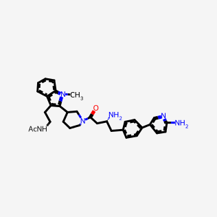 CC(=O)NCCc1c(C2CCCN(C(=O)C[C@H](N)Cc3ccc(-c4ccc(N)nc4)cc3)C2)n(C)c2ccccc12